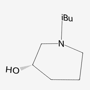 CCC(C)N1CCC[C@H](O)C1